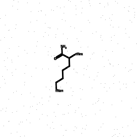 CCCCCCCCCCCCCC(CCCCCC)C(N)=O